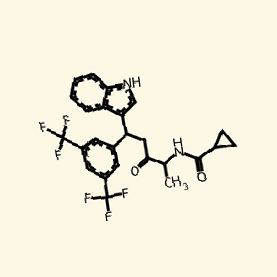 CC(NC(=O)C1CC1)C(=O)CC(c1cc(C(F)(F)F)cc(C(F)(F)F)c1)c1c[nH]c2ccccc12